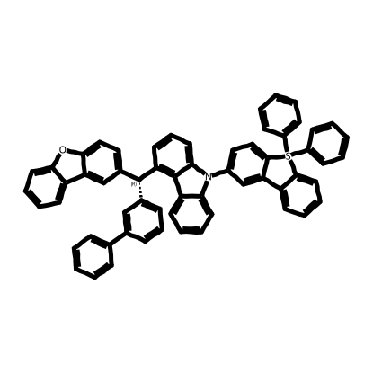 c1ccc(-c2cccc([C@H](c3ccc4oc5ccccc5c4c3)c3cccc4c3c3ccccc3n4-c3ccc4c(c3)-c3ccccc3S4(c3ccccc3)c3ccccc3)c2)cc1